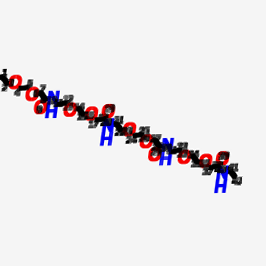 CCCOCCOCC(=O)NCCOCCOCC(=O)NCCOCCOCC(=O)NCCOCCOCC(=O)NCC